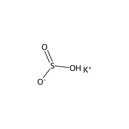 O=S([O-])O.[K+]